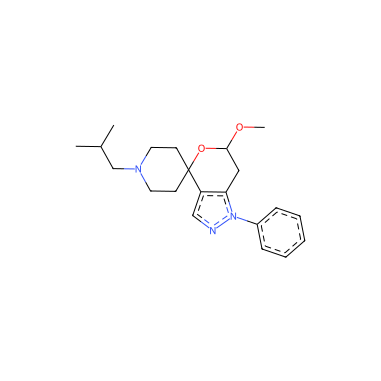 COC1Cc2c(cnn2-c2ccccc2)C2(CCN(CC(C)C)CC2)O1